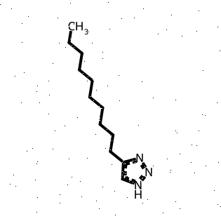 CCCCCCCCCCc1c[nH]nn1